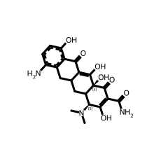 CN(C)[C@@H]1C(O)=C(C(N)=O)C(=O)[C@@]2(O)C(O)=C3C(=O)c4c(O)ccc(N)c4CC3CC12